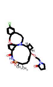 C[C@@H]1[C@@H](C)C/C=C/[C@H](OCCN2CCCC2=O)[C@@H]2CC[C@H]2CN2CCCCc3cc(Cl)ccc3COc3ccc(cc32)C(=O)NS1(=O)=O